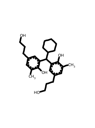 Cc1cc(CCCO)cc(C(c2cc(CCCO)cc(C)c2O)C2CCCCC2)c1O